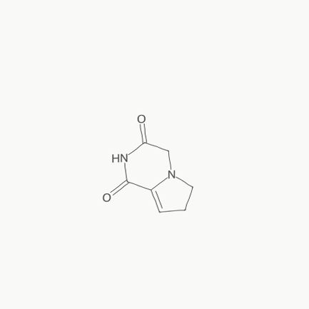 O=C1CN2CCC=C2C(=O)N1